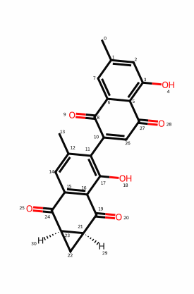 Cc1cc(O)c2c(c1)C(=O)C(c1c(C)cc3c(c1O)C(=O)[C@H]1C[C@H]1C3=O)=CC2=O